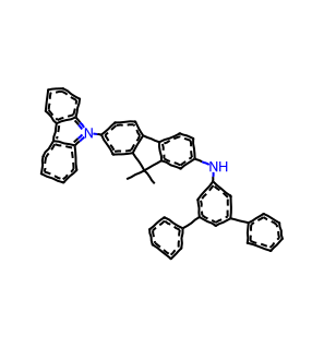 CC1(C)c2cc(Nc3cc(-c4ccccc4)cc(-c4ccccc4)c3)ccc2-c2ccc(-n3c4ccccc4c4ccccc43)cc21